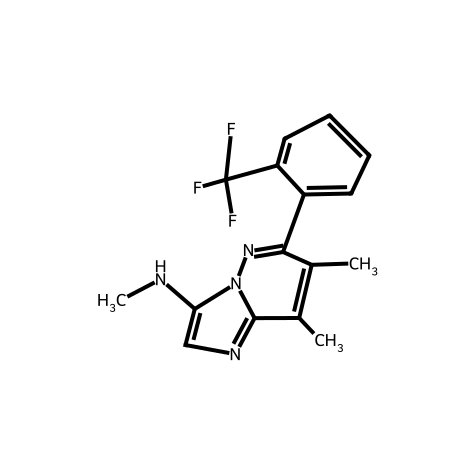 CNc1cnc2c(C)c(C)c(-c3ccccc3C(F)(F)F)nn12